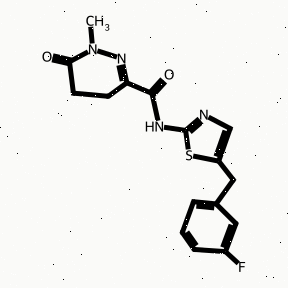 CN1N=C(C(=O)Nc2ncc(Cc3cccc(F)c3)s2)CCC1=O